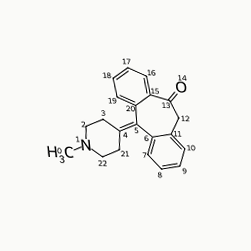 CN1CCC(=C2c3ccccc3CC(=O)c3ccccc32)CC1